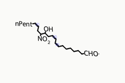 CCCCC/C=C\CC(C(O)C/C=C\C=C/CCCCCC[C]=O)[N+](=O)[O-]